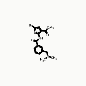 COC(=O)c1cc(Br)sc1NC(=O)c1cccc(CN(C)C)c1